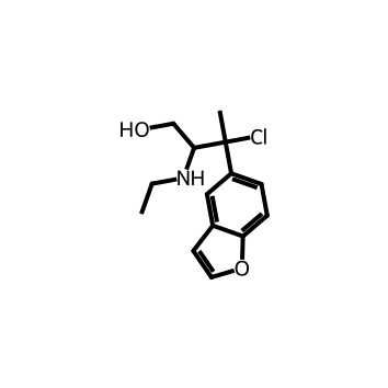 CCNC(CO)C(C)(Cl)c1ccc2occc2c1